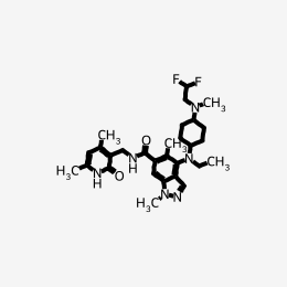 CCN(c1c(C)c(C(=O)NCc2c(C)cc(C)[nH]c2=O)cc2c1cnn2C)C1CCC(N(C)CC(F)F)CC1